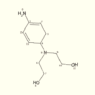 NC1=CCC(N(CCO)CCO)C=C1